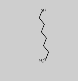 [SiH3]CCCCCCS